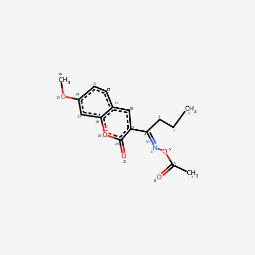 CCC/C(=N\OC(C)=O)c1cc2ccc(OC)cc2oc1=O